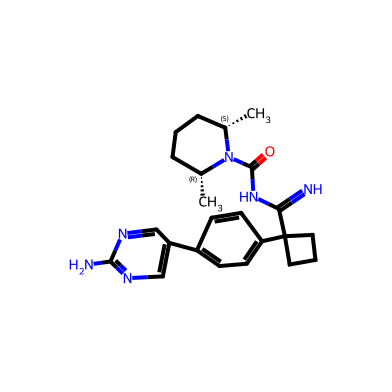 C[C@@H]1CCC[C@H](C)N1C(=O)NC(=N)C1(c2ccc(-c3cnc(N)nc3)cc2)CCC1